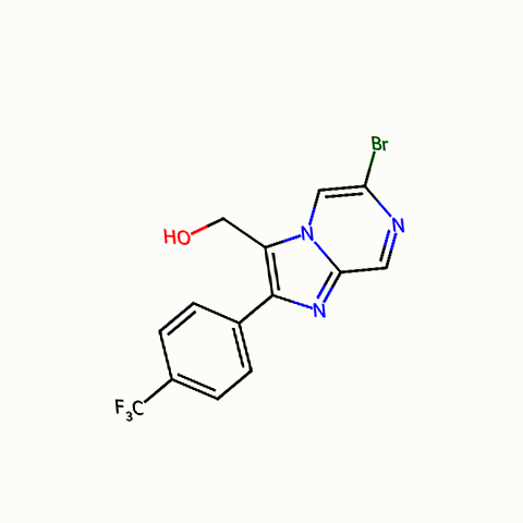 OCc1c(-c2ccc(C(F)(F)F)cc2)nc2cnc(Br)cn12